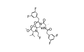 COC(=O)[C@H](C(C)C)N(CCF)C(=O)[C@H](C)N(C(=O)Cc1cc(F)cc(F)c1)C(=O)[C@H](C)NC(=O)Cc1cc(F)cc(F)c1